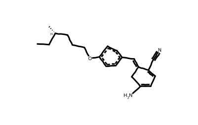 CC[C@H](C)CCCOc1ccc(C=C2CC(N)=CC=C2C#N)cc1